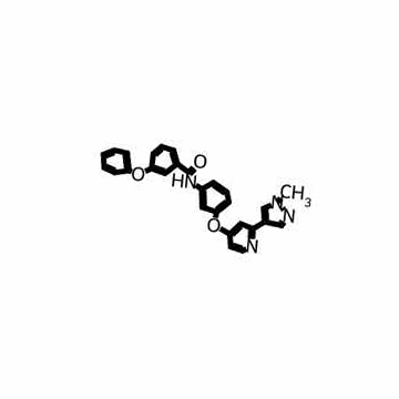 Cn1cc(-c2cc(Oc3cccc(NC(=O)c4cccc(Oc5ccccc5)c4)c3)ccn2)cn1